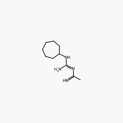 CC(=N)/N=C(\N)NC1CCCCCC1